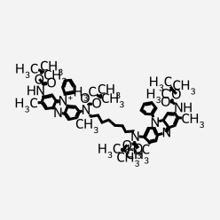 CC1=CC2=Nc3cc(C)c(N(CCCCCCCCN(C(=O)OC(C)(C)C)c4cc5c(cc4C)nc4cc(C)c(NC(=O)OC(C)(C)C)cc4[n+]5-c4ccccc4)C(=O)OC(C)(C)C)cc3N(c3ccccc3)C2C=C1NC(=O)OC(C)(C)C